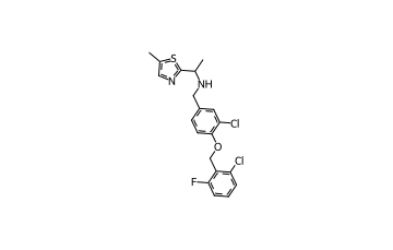 Cc1cnc(C(C)NCc2ccc(OCc3c(F)cccc3Cl)c(Cl)c2)s1